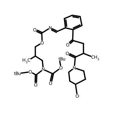 CC(COC(=O)N=Cc1ccccc1C(=O)CC(C)C(=O)N1CCC([O])CC1)CN(C(=O)OC(C)(C)C)C(=O)OC(C)(C)C